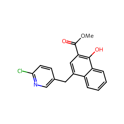 COC(=O)c1cc(Cc2ccc(Cl)nc2)c2ccccc2c1O